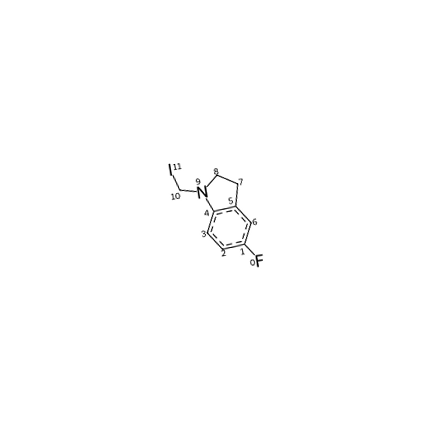 Fc1ccc2c(c1)CCN2CI